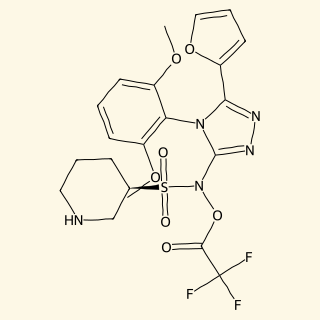 COc1cccc(OC)c1-n1c(-c2ccco2)nnc1N(OC(=O)C(F)(F)F)S(=O)(=O)[C@@H]1CCCNC1